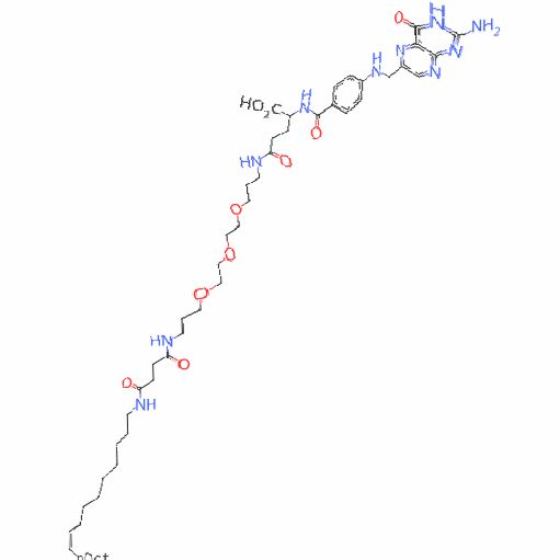 CCCCCCCC/C=C\CCCCCCCCNC(=O)CCC(=O)NCCCOCCOCCOCCCNC(=O)CCC(NC(=O)c1ccc(NCc2cnc3nc(N)[nH]c(=O)c3n2)cc1)C(=O)O